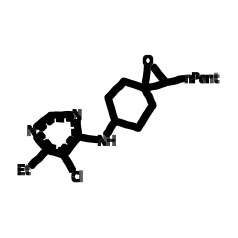 CCCCCC1OC12CCC(Nc1ncnc(CC)c1Cl)CC2